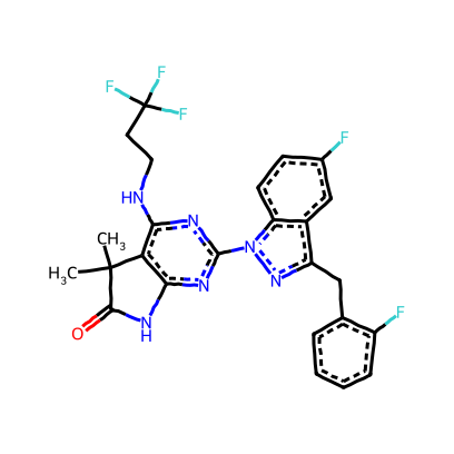 CC1(C)C(=O)Nc2nc(-n3nc(Cc4ccccc4F)c4cc(F)ccc43)nc(NCCC(F)(F)F)c21